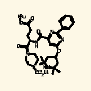 CCOC(=O)N1CCN(C(=O)C(CCC(=O)OC(C)(C)C)NC(=O)c2cc(OC3CC(C)(C)NC(C)(C)C3)nc(-c3ccccc3)n2)CC1